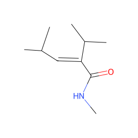 CNC(=O)C(=CC(C)C)C(C)C